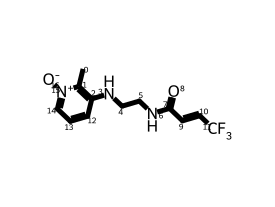 Cc1c(NCCNC(=O)/C=C/C(F)(F)F)ccc[n+]1[O-]